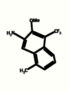 COc1c(N)cc2c(C)cccc2c1C(F)(F)F